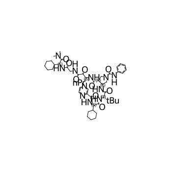 CCC[C@H](NC(=O)[C@@H]1CN(C(=O)Nc2ccccc2)C[C@@H]1NC(=O)[C@@H](NC(=O)[C@@H](NC(=O)c1cnccn1)C1CCCCC1)C(C)(C)C)C(=O)C(=O)NCC(=O)N[C@H](C(=O)N(C)C)C1CCCCC1